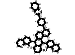 Oc1c(-c2c3ccccc3c(-c3ccc4cccnc4c3O)c3c2ccc2c(-c4ccc(-c5nc6ccccc6s5)cc4)cccc23)ccc2cccnc12